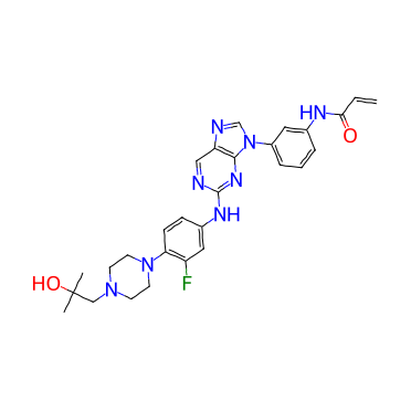 C=CC(=O)Nc1cccc(-n2cnc3cnc(Nc4ccc(N5CCN(CC(C)(C)O)CC5)c(F)c4)nc32)c1